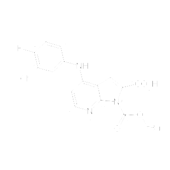 CC(C)(C)OC(=O)n1c(C(=O)O)cc2c(Nc3ccc(F)c(Cl)c3)ccnc21